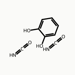 N=C=O.N=C=O.Oc1ccccc1O